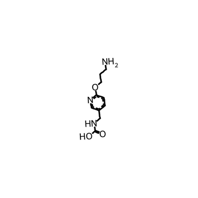 NCCCOc1ccc(CNC(=O)O)cn1